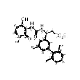 CCOC(=O)C[C@H](NC(=O)Nc1c(O)ccn(C)c1=O)c1cc(C)cc(-c2c(C)cccc2C)c1